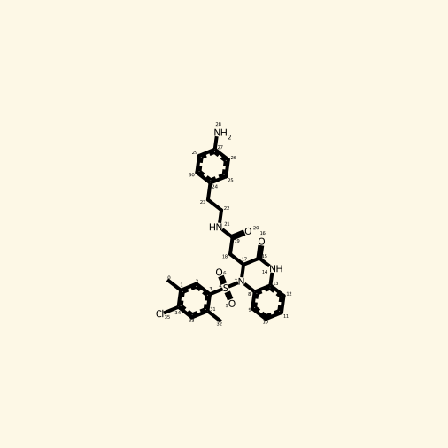 Cc1cc(S(=O)(=O)N2c3ccccc3NC(=O)C2CC(=O)NCCc2ccc(N)cc2)c(C)cc1Cl